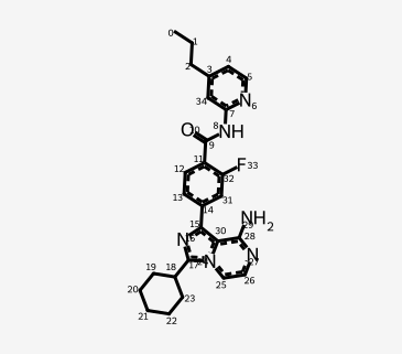 CCCc1ccnc(NC(=O)c2ccc(-c3nc(C4CCCCC4)n4ccnc(N)c34)cc2F)c1